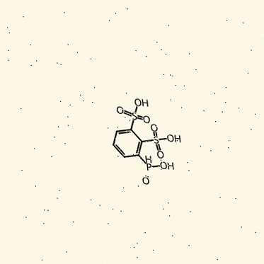 O=[PH](O)c1cccc(S(=O)(=O)O)c1S(=O)(=O)O